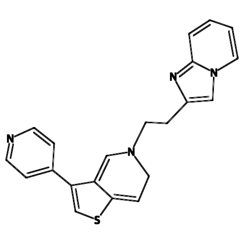 C1=c2scc(-c3ccncc3)c2=CN(CCc2cn3ccccc3n2)C1